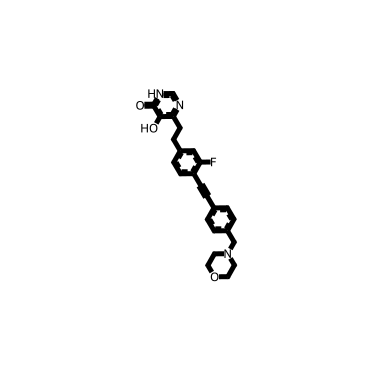 O=c1[nH]cnc(CCc2ccc(C#Cc3ccc(CN4CCOCC4)cc3)c(F)c2)c1O